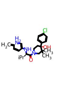 C=C/C=C\C(=C/N)N[C@@H](C(=O)N1CC[C@](O)(c2ccc(Cl)cc2)C(C)(C)C1)C(C)C